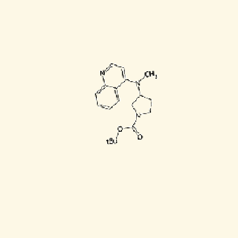 CN(c1ccnc2ccccc12)C1CCN(C(=O)OC(C)(C)C)C1